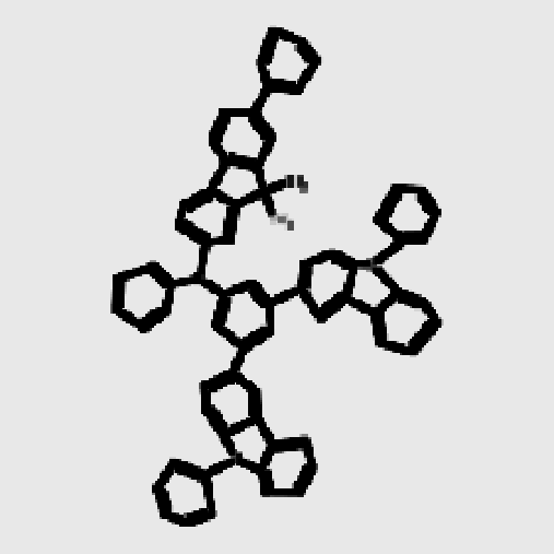 CC1(C)c2cc(-c3ccccc3)ccc2-c2ccc(N(c3ccccc3)c3cc(-c4ccc5c(c4)c4ccccc4n5-c4ccccc4)cc(-c4ccc5c(c4)c4ccccc4n5-c4ccccc4)c3)cc21